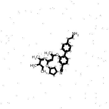 C=C(/C=C(\N=C(\C)C(C)CC)OC1CCCC1)Oc1cc(C#N)ccc1-c1ccc(CCN)cc1